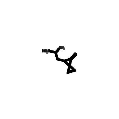 C=C1C(CC(N)C(=O)O)C12CC2